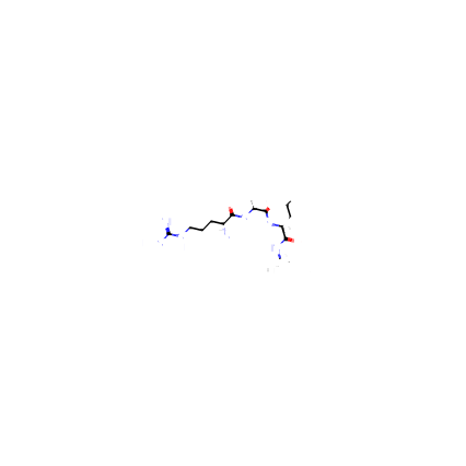 CC[C@H](C)[C@H](NC(=O)[C@H](CCC(=O)O)NC(=O)[C@H](C)NC(=O)[C@@H](N)CCCNC(=N)N)C(=O)O